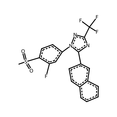 CS(=O)(=O)c1ccc(-n2nc(C(F)(F)F)nc2-c2ccc3ccccc3c2)cc1F